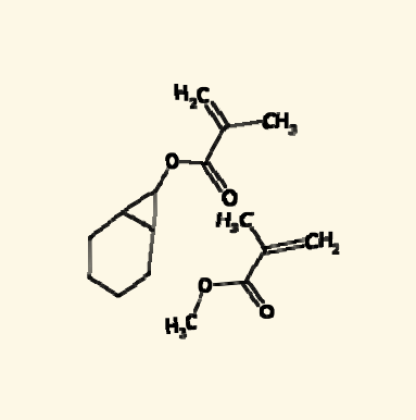 C=C(C)C(=O)OC.C=C(C)C(=O)OC1C2CCCCC21